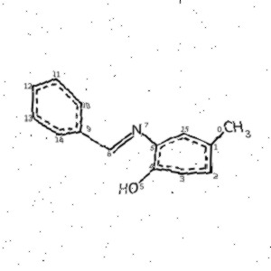 Cc1ccc(O)c(/N=C/c2ccccc2)c1